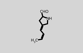 C/C=C\C=C1/CNC(C=O)C1